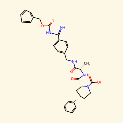 C[C@H](NC(=O)[C@H]1C[C@@H](c2ccccc2)CCN1C(=O)O)C(=O)NCc1ccc(C(=N)NC(=O)OCc2ccccc2)cc1